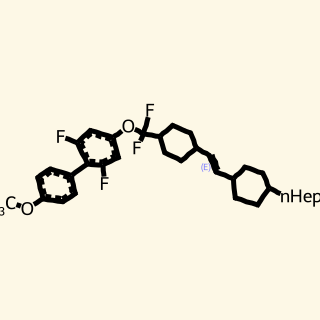 CCCCCCCC1CCC(/C=C/C2CCC(C(F)(F)Oc3cc(F)c(-c4ccc(OC(F)(F)F)cc4)c(F)c3)CC2)CC1